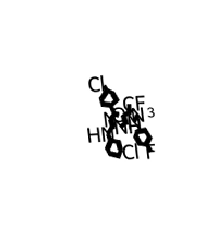 O=C(/N=C(/Nc1cccc(Cl)c1)Nc1cc(C(F)(F)F)nn1-c1ccc(F)cc1)c1ccc(Cl)cc1